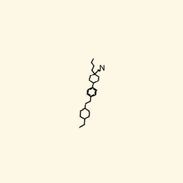 CCCCC1(C#N)CCC(c2ccc(CCC3CCC(CC)CC3)cc2)CC1